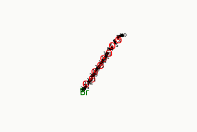 C#CCOCCOCCOCCOCCOCCOCCOCCOCCBr